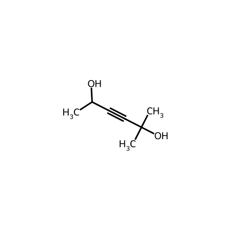 CC(O)C#CC(C)(C)O